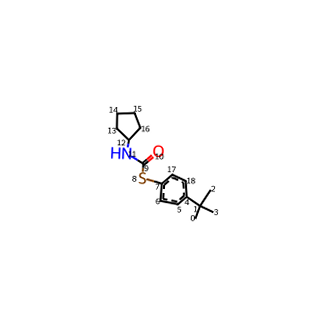 CC(C)(C)c1ccc(SC(=O)NC2CCCC2)cc1